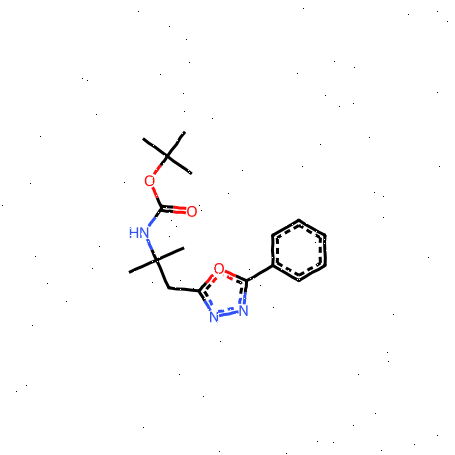 CC(C)(Cc1nnc(-c2ccccc2)o1)NC(=O)OC(C)(C)C